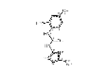 Cc1cc(O)ccc1NC(=O)Nc1nc(C(F)(F)F)cs1